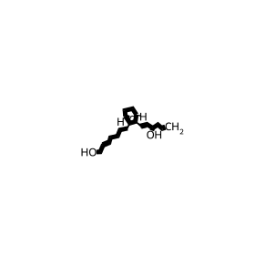 C=CCC(O)C=C[C@H]1[C@@H](CCCCC=CCO)[C@H]2CC[C@@H]1O2